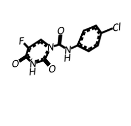 O=C(Nc1ccc(Cl)cc1)n1cc(F)c(=O)[nH]c1=O